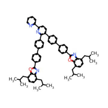 CC(C)Cc1ccc(CC(C)C)c2oc(-c3ccc(-c4ccc(-c5ccc(-c6ccccn6)nc5-c5ccc(-c6ccc(-c7nc8c(CC(C)C)ccc(CC(C)C)c8o7)cc6)cc5)cc4)cc3)nc12